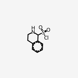 O=S(=O)(Cl)C1NCCc2ccccc21